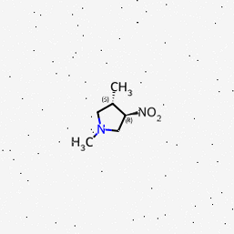 C[C@H]1CN(C)C[C@@H]1[N+](=O)[O-]